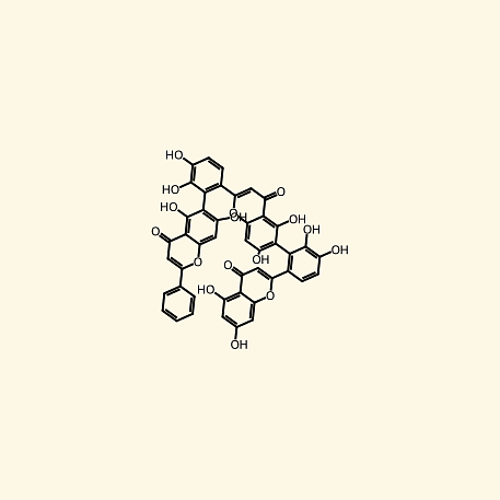 O=c1cc(-c2ccc(O)c(O)c2-c2c(O)cc3oc(-c4ccc(O)c(O)c4-c4c(O)cc5oc(-c6ccccc6)cc(=O)c5c4O)cc(=O)c3c2O)oc2cc(O)cc(O)c12